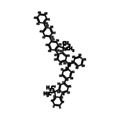 CC1(C)c2ccccc2-c2ccc(-c3ccc(N(c4ccccc4)c4ccc5c(c4)C(C)(C)c4cc(-c6ccc(-c7ccccc7)cc6)ccc4-5)cc3)cc21